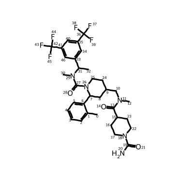 Cc1ccccc1C1CC(CN(C)C(=O)C2CCN(C(N)=O)CC2)CCN1C(=O)N(C)C(C)c1cc(C(F)(F)F)cc(C(F)(F)F)c1